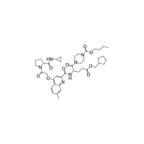 CCCCOC(=O)N1CCN(C(=O)C(CCC(=O)OCC2CCCC2)NC(=O)c2cc(OCC(=O)N3CCCC3C(=O)NC3CC3)c3ccc(C)cc3n2)CC1